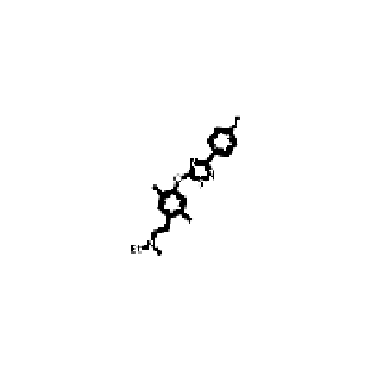 CCN(C)CCc1cc(C)c(Oc2nc(-c3ccc(F)cc3)ns2)cc1C